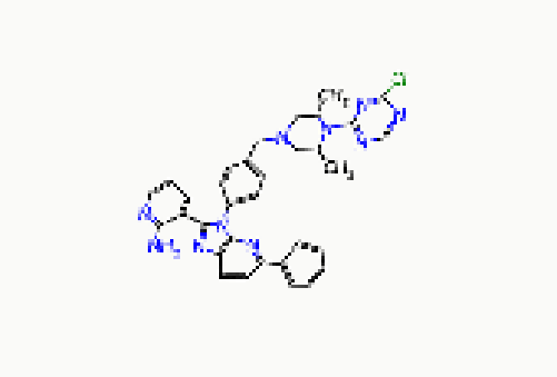 C[C@H]1CN(Cc2ccc(-n3c(-c4cccnc4N)nc4ccc(-c5ccccc5)nc43)cc2)C[C@H](C)N1c1ncnc(Cl)n1